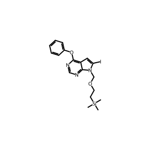 C[Si](C)(C)CCOCn1c(I)cc2c(Oc3ccccc3)ncnc21